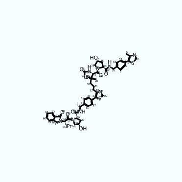 Cc1ncsc1-c1ccc(CNC(=O)[C@@H]2C[C@@H](O)CN2C(=O)[C@@H](NC(=O)C(C)(C)C)C(C)(C)CCCc2ncsc2-c2ccc(CNC(=O)[C@@H]3C[C@@H](O)CN3C(=O)[C@H](C(C)C)N3Cc4ccccc4C3=O)cc2)cc1